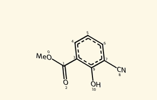 COC(=O)c1cccc(C#N)c1O